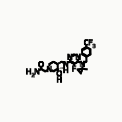 CC1(N(Cc2ccc(C(F)(F)F)cc2)c2ncnc(NC[C@@H]3CCN(CC(N)=O)C[C@]3(C)O)c2F)CC1